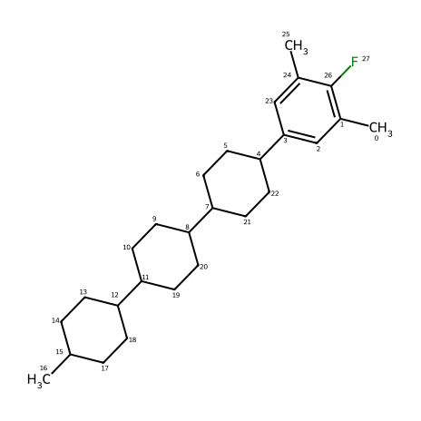 Cc1cc(C2CCC(C3CCC(C4CCC(C)CC4)CC3)CC2)cc(C)c1F